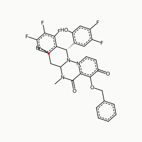 CN1C(=O)c2c(OCc3ccccc3)c(=O)ccn2N([C@@H](c2cc(F)c(F)cc2O)c2ccc(F)c(F)c2F)C1CCBr